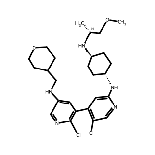 COC[C@@H](C)N[C@H]1CC[C@H](Nc2cc(-c3cc(NCC4CCOCC4)cnc3Cl)c(Cl)cn2)CC1